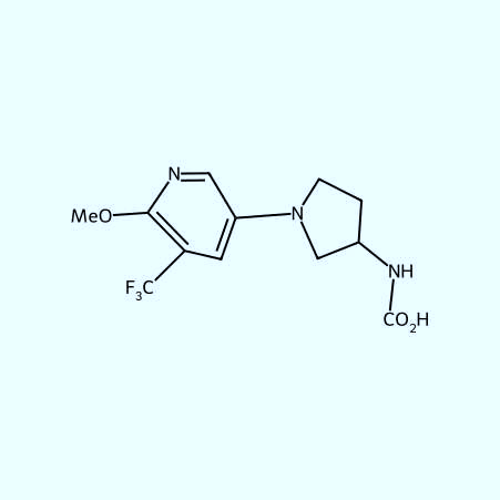 COc1ncc(N2CCC(NC(=O)O)C2)cc1C(F)(F)F